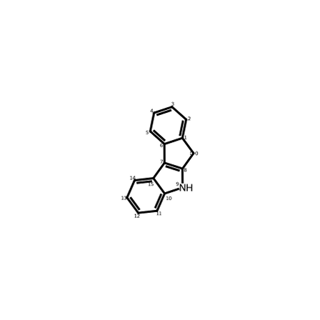 [C]1c2ccccc2-c2c1[nH]c1ccccc21